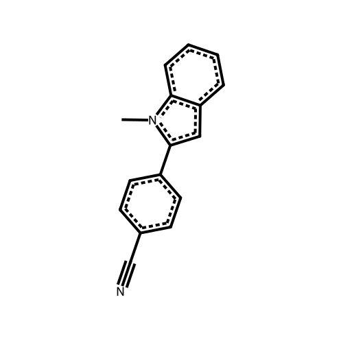 Cn1c(-c2ccc(C#N)cc2)cc2ccccc21